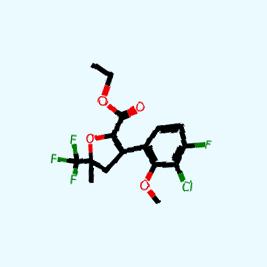 CCOC(=O)C1OC(C)(C(F)(F)F)CC1c1ccc(F)c(Cl)c1OC